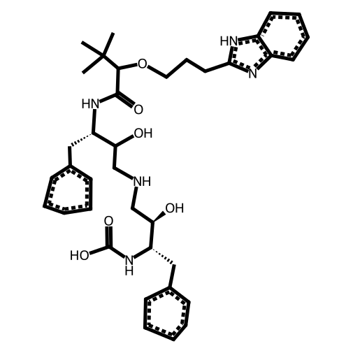 CC(C)(C)C(OCCCc1nc2ccccc2[nH]1)C(=O)N[C@@H](Cc1ccccc1)C(O)CNC[C@@H](O)[C@H](Cc1ccccc1)NC(=O)O